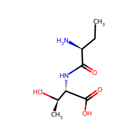 CC[C@H](N)C(=O)N[C@H](C(=O)O)[C@@H](C)O